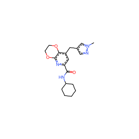 Cn1cc(Cc2cc(C(=O)NC3CCCCC3)nc3c2OCCO3)cn1